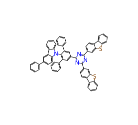 c1ccc(-c2ccc3c(c2)c2ccccc2n3-c2c(-c3ccccc3)cc(-c3nc(-c4ccc5c(c4)sc4ccccc45)nc(-c4ccc5c(c4)sc4ccccc45)n3)cc2-c2ccccc2)cc1